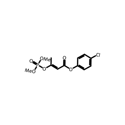 COP(=O)(OC)O/C(C)=C/C(=O)Oc1ccc(Cl)cc1